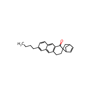 CCCCc1ccc2cc3c(cc2c1)CCC1(CC2C=CC1C2)C3=O